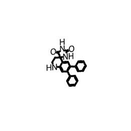 O=C1NC(=O)C2(CCNc3cc(-c4ccccc4)c(-c4ccccc4)cc32)N1